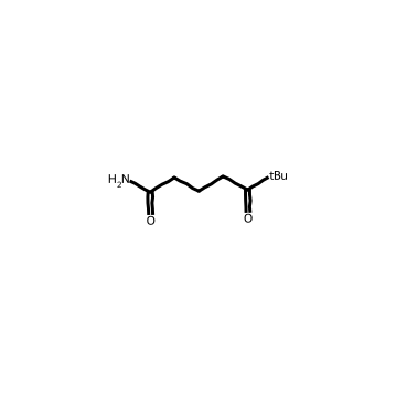 CC(C)(C)C(=O)CCCC(N)=O